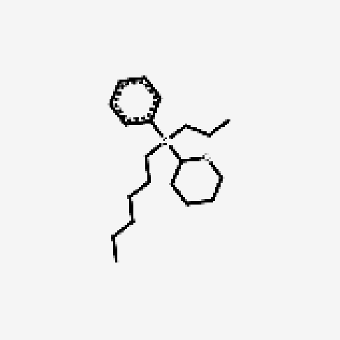 CCCCCC[Si](CCC)(c1ccccc1)C1CCCCO1